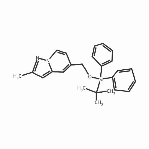 Cc1cc2cc(CO[Si](c3ccccc3)(c3ccccc3)C(C)(C)C)ccn2n1